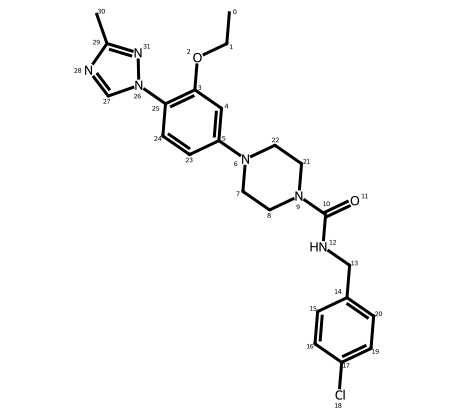 CCOc1cc(N2CCN(C(=O)NCc3ccc(Cl)cc3)CC2)ccc1-n1cnc(C)n1